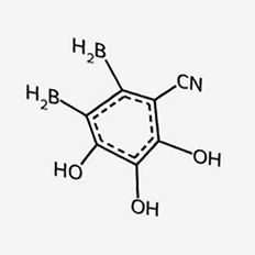 Bc1c(B)c(C#N)c(O)c(O)c1O